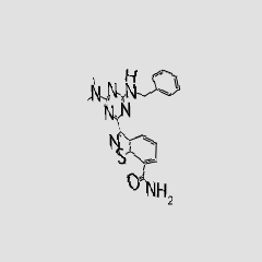 CN(C)c1nc(NCc2ccccc2)nc(C2=NSC3C(C(N)=O)=CC=CC23)n1